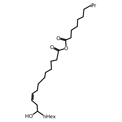 CCCCCCC(O)C/C=C\CCCCCCCC(=O)OC(=O)CCCCCCC(C)C